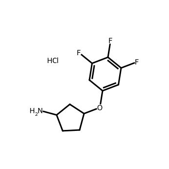 Cl.NC1CCC(Oc2cc(F)c(F)c(F)c2)C1